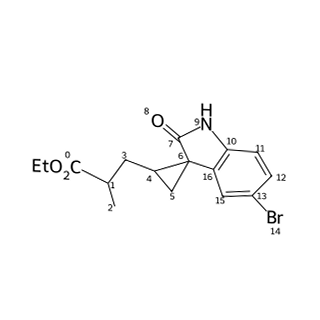 CCOC(=O)C(C)CC1CC12C(=O)Nc1ccc(Br)cc12